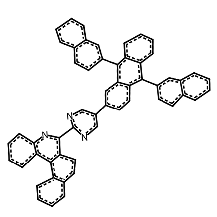 c1ccc2cc(-c3c4ccccc4c(-c4ccc5ccccc5c4)c4cc(-c5cnc(-c6nc7ccccc7c7c6ccc6ccccc67)nc5)ccc34)ccc2c1